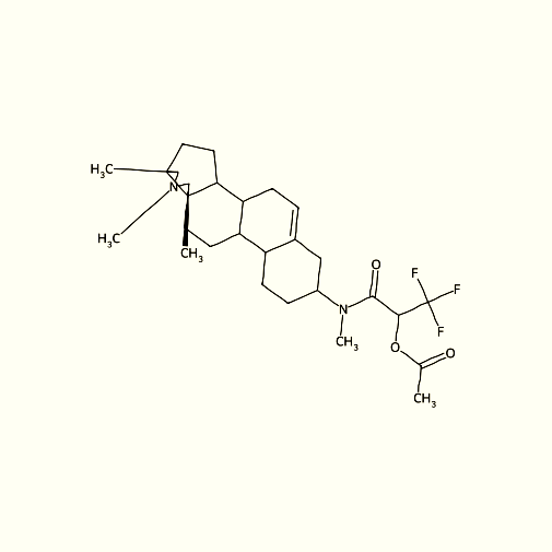 CC(=O)OC(C(=O)N(C)C1CCC2C(=CCC3C2CCC24C3CCC2C(C)N(C)[C@H]4C)C1)C(F)(F)F